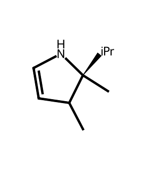 CC(C)[C@]1(C)NC=CC1C